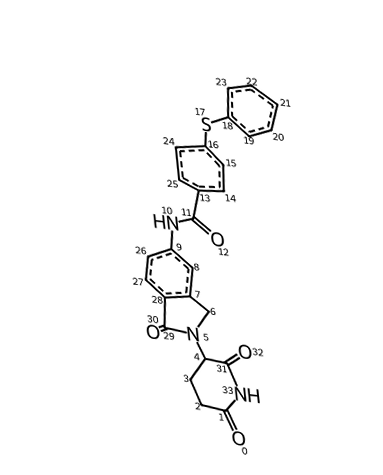 O=C1CCC(N2Cc3cc(NC(=O)c4ccc(Sc5ccccc5)cc4)ccc3C2=O)C(=O)N1